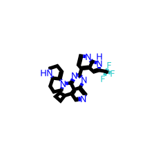 FC(F)(F)c1cc2c(-c3nc(N4CCCC5NCCC=C54)c4c(C5CCC5)cncc4n3)ccnc2[nH]1